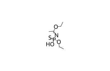 CCOC(C)=NP(O)(=S)OCC